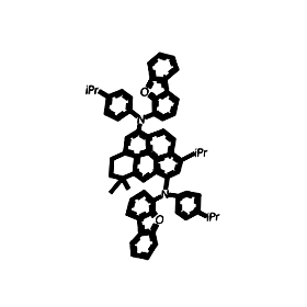 CC(C)c1ccc(N(c2cc(C(C)C)c3ccc4c(N(c5ccc(C(C)C)cc5)c5cccc6c5oc5ccccc56)cc5c6c(cc2c3c46)C(C)(C)CC5)c2cccc3c2oc2ccccc23)cc1